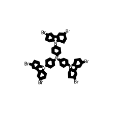 Brc1ccc2c(c1)c1cc(Br)ccc1n2-c1ccc(N(c2ccc(-n3c4ccc(Br)cc4c4cc(Br)ccc43)cc2)c2ccc(-n3c4ccc(Br)cc4c4cc(Br)ccc43)cc2)cc1